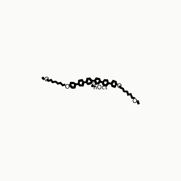 C=COCCCCCCCCOc1ccc(-c2ccc(-c3ccc4c(c3)[Si](C)(CCCCCCCC)c3cc(-c5ccc(-c6ccc(OCCCCCCCCOC=C)cc6)cc5)ccc3-4)cc2)cc1